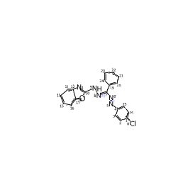 Clc1ccc(/N=N/C(=N/Nc2nc3ccccc3o2)c2ccccc2)cc1